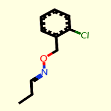 CCC=NOCc1ccccc1Cl